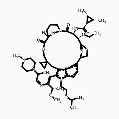 CCO[C@@H]1C2=NC(CS2)c2ccc3c(c2)c(c(/C=C(/N=C\C(C)N2CCN(C)CC2)[C@H](C)OC)n3CCOC(C)C)CC2(CC2)COC(=O)[C@@H]2CCCN(N2)C(=O)[C@H]1NC(=O)[C@H]1[C@H](C)[C@@H]1C